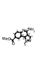 COC(=O)c1ccc2nc(N)c3cnn(C)c3c2c1